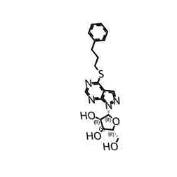 OC[C@H]1O[C@@H](n2ncc3c(SCCCc4ccccc4)ncnc32)[C@H](O)[C@@H]1O